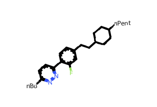 CCCCCC1CCC(CCc2ccc(-c3ccc(CCCC)nn3)c(F)c2)CC1